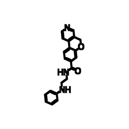 O=C(NCCNc1ccccc1)c1ccc2c(c1)OCc1cnccc1-2